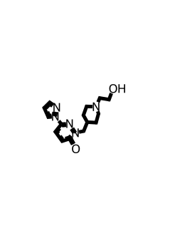 O=c1ccc(-n2cccn2)nn1CC1CCN(CCO)CC1